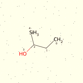 [CH2]CC(O)[SiH3]